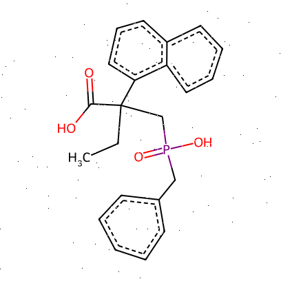 CCC(CP(=O)(O)Cc1ccccc1)(C(=O)O)c1cccc2ccccc12